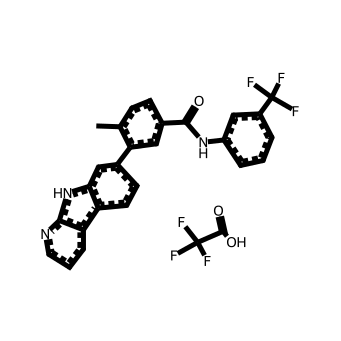 Cc1ccc(C(=O)Nc2cccc(C(F)(F)F)c2)cc1-c1ccc2c(c1)[nH]c1ncccc12.O=C(O)C(F)(F)F